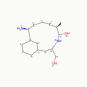 C[C@@H]1CCC[C@H](N)C2CCCC(CC(CO)NC1O)C2